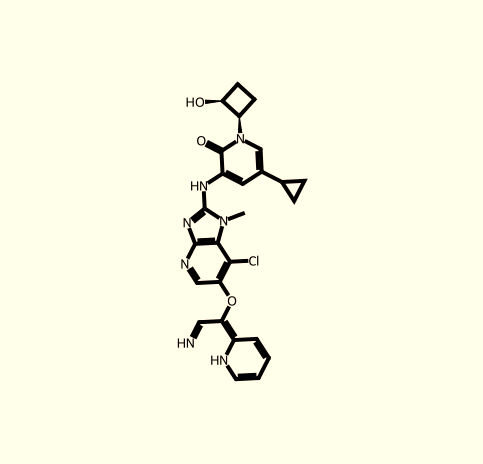 Cn1c(Nc2cc(C3CC3)cn([C@@H]3CC[C@@H]3O)c2=O)nc2ncc(O/C(C=N)=C3\C=CC=CN3)c(Cl)c21